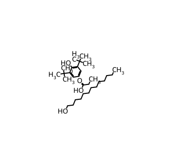 CC(C)(C)c1cccc(C(C)(C)C)c1O.CCC(=O)O.CCCCCCCCCCCCCO